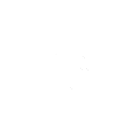 CC1(C)c2c(ccc3cc(C#N)c(Cn4cncn4)cc23)OC1Cl